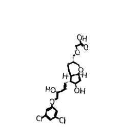 O=C(O)COC[C@H]1CC[C@@H]2[C@@H](C=C[C@@H](O)COc3cc(Cl)cc(Cl)c3)[C@H](O)C[C@@H]2OC1